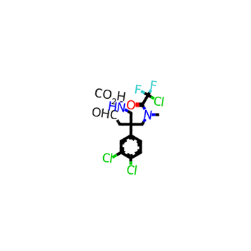 CN(CC(CC=O)(CNC(=O)O)c1ccc(Cl)c(Cl)c1)C(=O)C(F)(F)Cl